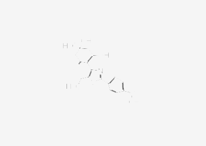 CCc1sc(-c2ccc(OC)cc2)nc1C1=C(O)CC(C)(C)CC1=O